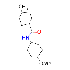 COC1CCC(NC(=O)C2CCC(C)CC2)CC1